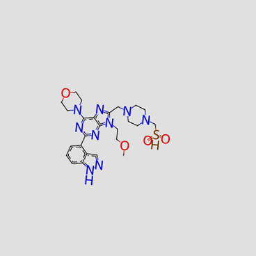 COCCn1c(CN2CCN(C[SH](=O)=O)CC2)nc2c(N3CCOCC3)nc(-c3cccc4[nH]ncc34)nc21